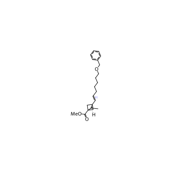 COC(=O)C12CC(/C=C/CCCCCOCc3ccccc3)(C1)[C@H]2C